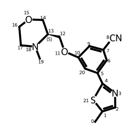 Cc1cnc(-c2cc(C#N)cc(OC[C@@H]3COCCN3C)c2)s1